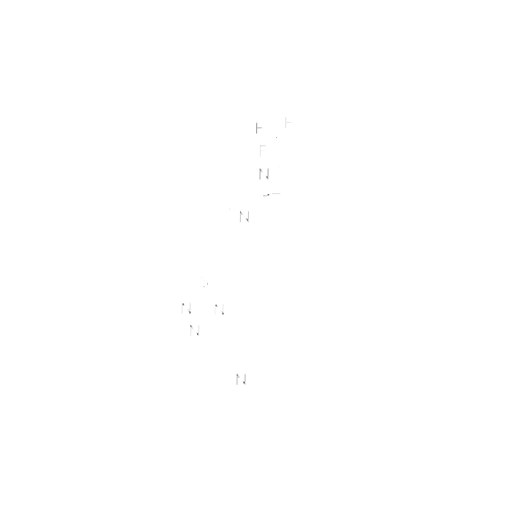 Cn1c(SCCCN2CC3CCN(c4ccccc4C(F)(F)F)[C@@H]3C2)nnc1-c1ccncc1